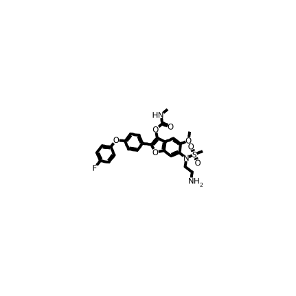 CNC(=O)Oc1c(-c2ccc(Oc3ccc(F)cc3)cc2)oc2cc(N(CCN)S(C)(=O)=O)c(OC)cc12